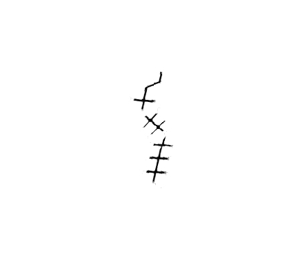 FC(F)(CCI)OC(F)(F)C(F)(F)OC(F)(F)C(F)(F)C(F)(F)C(F)(F)F